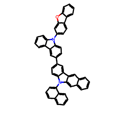 c1ccc2cc3c(cc2c1)c1cc(-c2ccc4c(c2)c2ccccc2n4-c2ccc4c(c2)oc2ccccc24)ccc1n3-c1cccc2ccccc12